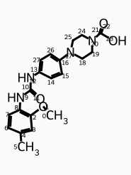 COc1cc(C)ccc1NC(=O)Nc1ccc(N2CCN(C(=O)O)CC2)cc1